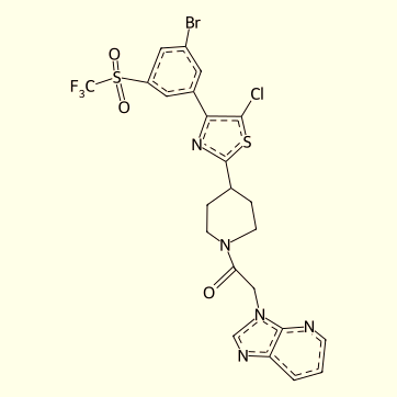 O=C(Cn1cnc2cccnc21)N1CCC(c2nc(-c3cc(Br)cc(S(=O)(=O)C(F)(F)F)c3)c(Cl)s2)CC1